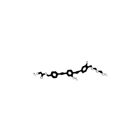 C=COCOCc1ccc(C#Cc2ccc(C#Cc3ccc(COC(=O)C=C)cc3)cc2C)cc1F